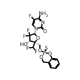 Nc1nc(=O)n([C@@H]2O[C@@](COP3(=S)OCc4ccccc4O3)(C(F)F)[C@H](O)C2(F)F)cc1F